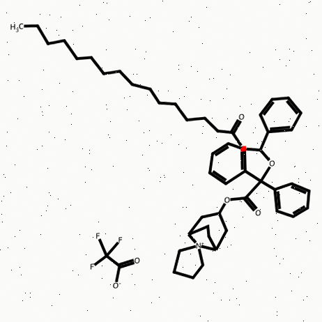 CCCCCCCCCCCCCCCC(=O)OC(OC(C(=O)OC1CC2CCC(C1)[N+]21CCCC1)(c1ccccc1)c1ccccc1)c1ccccc1.O=C([O-])C(F)(F)F